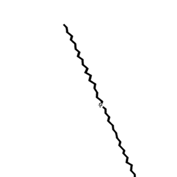 CCCCCCCCCCCCCCCCCCCC[P]CCCCCCCCCCCCCCCCCCCC